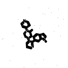 CC1CN(c2cccnc2-c2ccc3ccn(C)c3c2)CCN1c1ccncc1